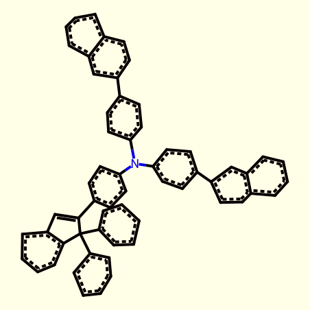 C1=C(c2ccc(N(c3ccc(-c4ccc5ccccc5c4)cc3)c3ccc(-c4ccc5ccccc5c4)cc3)cc2)C(c2ccccc2)(c2ccccc2)c2ccccc21